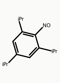 CC(C)c1cc(C(C)C)c(N=O)c(C(C)C)c1